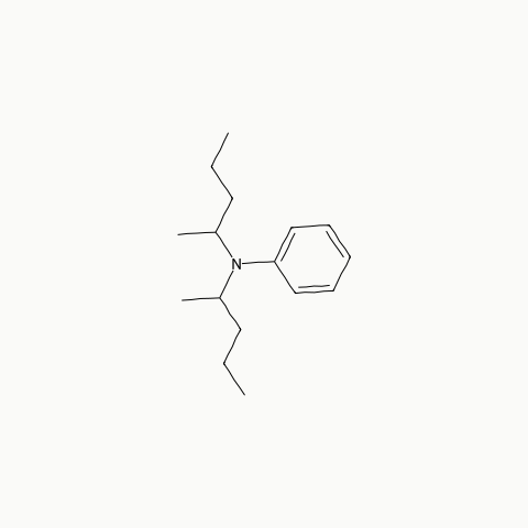 CCCC(C)N(c1ccccc1)C(C)CCC